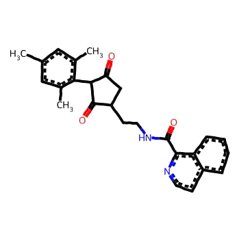 Cc1cc(C)c(C2C(=O)CC(CCNC(=O)c3nccc4ccccc34)C2=O)c(C)c1